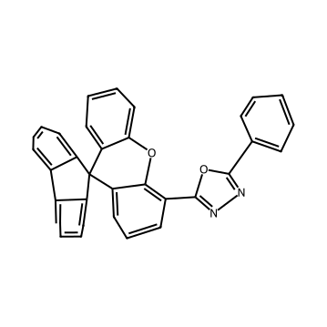 c1ccc(-c2nnc(-c3cccc4c3Oc3ccccc3C43c4ccccc4-c4ccccc43)o2)cc1